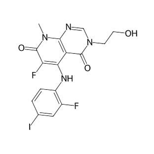 Cn1c(=O)c(F)c(Nc2ccc(I)cc2F)c2c(=O)n(CCO)cnc21